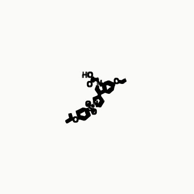 CCOc1ccc2c(C3CCN(S(=O)(=O)c4ccc(OC(C)C)cc4)C3)cn(CC(=O)O)c2c1